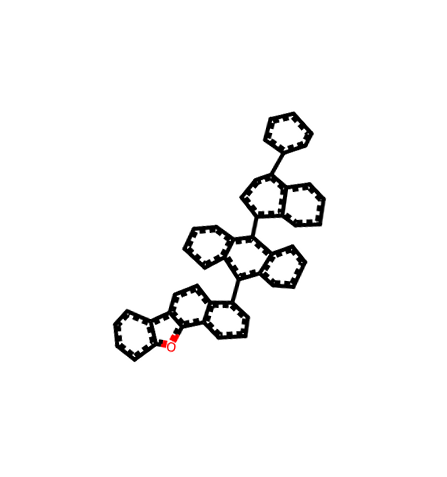 c1ccc(-c2ccc(-c3c4ccccc4c(-c4cccc5c4ccc4c6ccccc6oc54)c4ccccc34)c3ccccc23)cc1